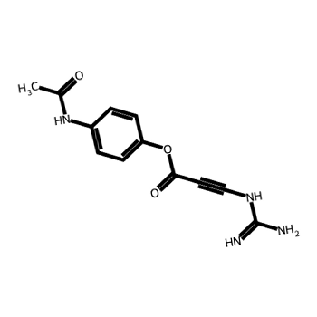 CC(=O)Nc1ccc(OC(=O)C#CNC(=N)N)cc1